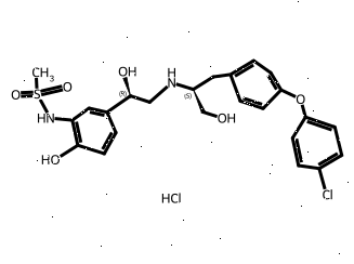 CS(=O)(=O)Nc1cc([C@@H](O)CN[C@H](CO)Cc2ccc(Oc3ccc(Cl)cc3)cc2)ccc1O.Cl